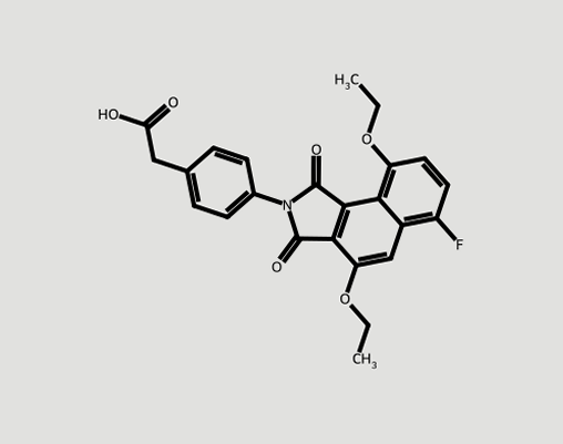 CCOc1cc2c(F)ccc(OCC)c2c2c1C(=O)N(c1ccc(CC(=O)O)cc1)C2=O